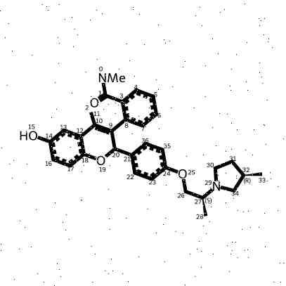 CNC(=O)c1ccccc1C1=C(C)c2cc(O)ccc2OC1c1ccc(OC[C@H](C)N2CC[C@@H](C)C2)cc1